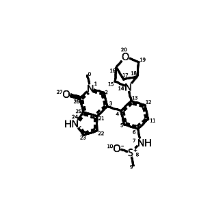 Cn1cc(-c2cc(N[S+](C)[O-])ccc2N2CC3CC2CO3)c2cc[nH]c2c1=O